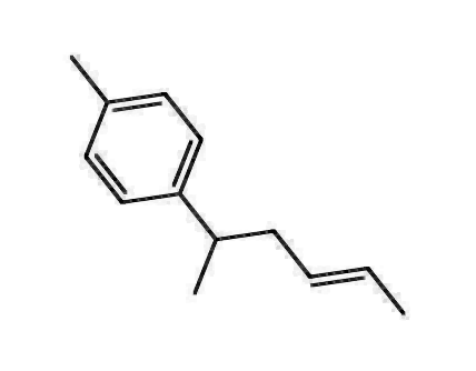 CC=CCC(C)c1ccc(C)cc1